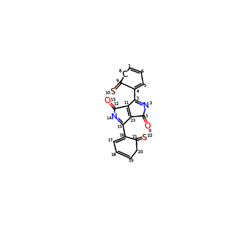 O=c1nc(C2=CC=CCC2=S)c2c(=O)nc(C3=CC=CCC3=S)c1=2